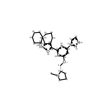 CN1CCC[C@H]1COc1cc(-n2ccnn2)nc(-c2onc3c2CCC[C@@]32CCCCC2=O)n1